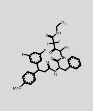 COc1ccc(C(CC(=O)NC(Cc2ccccc2)C(=O)NC(C(=O)C(F)(F)C(=O)NCC(F)(F)F)C(C)C)c2cc(F)cc(F)c2)cc1